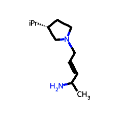 CC(N)/C=C/CN1CC[C@@H](C(C)C)C1